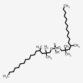 CCCCCCCCCCCCC(C)CC(C)(C)COP(=S)(S)OCC(C)(C)CC(C)CCCCCCCCCCCC